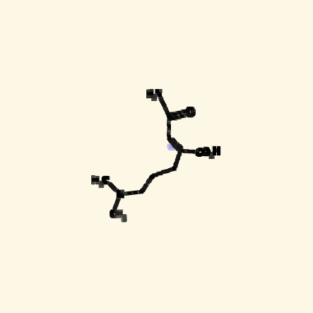 CN(C)CCC/C(=C/C(N)=O)C(=O)O